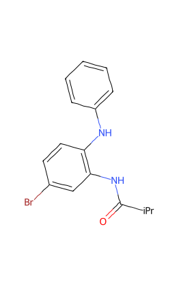 CC(C)C(=O)Nc1cc(Br)ccc1Nc1ccccc1